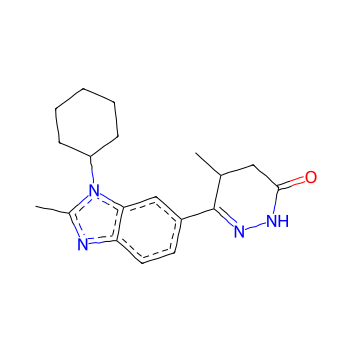 Cc1nc2ccc(C3=NNC(=O)CC3C)cc2n1C1CCCCC1